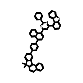 CC1(C)c2ccc(-c3ccc(-c4ccc(-c5cc(-c6cccc7sc8ccccc8c67)nc(-c6ccccc6)n5)c5ccccc45)cc3)cc2-c2c1ccc1ccccc21